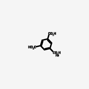 O=C(O)c1cc(C(=O)O)cc(C(=O)O)c1.[Fe]